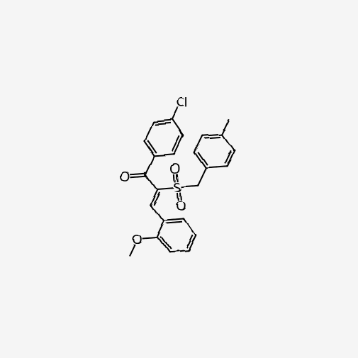 COc1ccccc1/C=C(/C(=O)c1ccc(Cl)cc1)S(=O)(=O)Cc1ccc(C)cc1